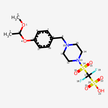 COC(C)Oc1ccc(CN2CCN(S(=O)(=O)C(F)(F)S(=O)(=O)O)CC2)cc1